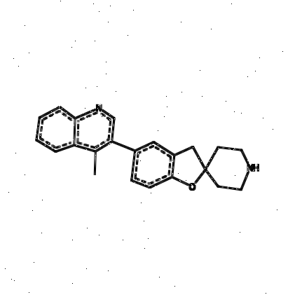 Cc1c(-c2ccc3c(c2)CC2(CCNCC2)O3)cnc2ccccc12